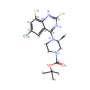 C[C@H]1CN(C(=O)OC(C)(C)C)CCN1c1nc(F)nc2c(F)cc(Cl)cc12